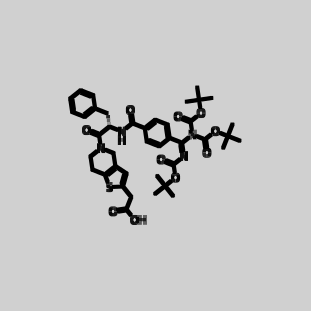 CC(C)(C)OC(=O)N=C(c1ccc(C(=O)N[C@@H](Cc2ccccc2)C(=O)N2CCc3sc(CC(=O)O)cc3C2)cc1)N(C(=O)OC(C)(C)C)C(=O)OC(C)(C)C